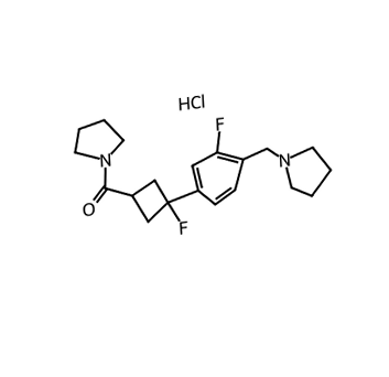 Cl.O=C(C1CC(F)(c2ccc(CN3CCCC3)c(F)c2)C1)N1CCCC1